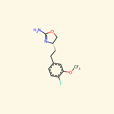 NC1=N[C@@H](CCc2ccc(F)c(OC(F)(F)F)c2)CO1